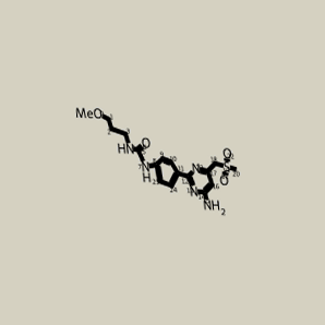 COCCCNC(=O)Nc1ccc(-c2nc(N)cc(CS(C)(=O)=O)n2)cc1